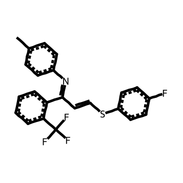 Cc1ccc(N=C(C=CSc2ccc(F)cc2)c2ccccc2C(F)(F)F)cc1